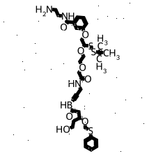 CC(C)(C)SSC(COc1cccc(C(=O)NCCN)c1)OCCOCC(=O)NCC#CB[C@H]1C[C@@H](OCSc2ccccc2)C(CO)O1